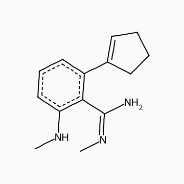 C/N=C(/N)c1c(NC)cccc1C1=CCCC1